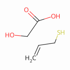 C=CCS.O=C(O)CO